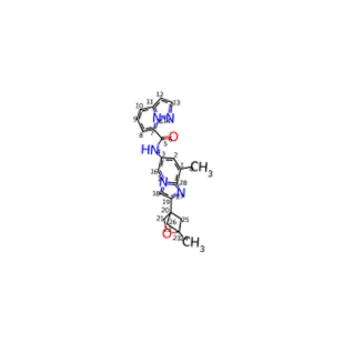 Cc1cc(NC(=O)c2cccc3ccnn23)cn2cc(C34COC(C)(C3)C4)nc12